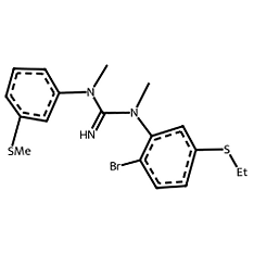 CCSc1ccc(Br)c(N(C)C(=N)N(C)c2cccc(SC)c2)c1